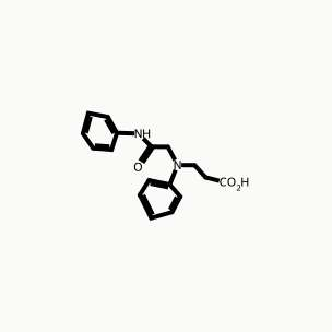 O=C(O)CCN(CC(=O)Nc1ccccc1)c1ccccc1